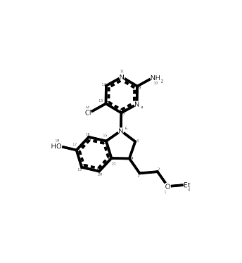 CCOCCC1CN(c2nc(N)ncc2Cl)c2cc(O)ccc21